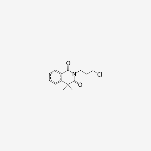 CC1(C)C(=O)N(CCCCl)C(=O)c2ccccc21